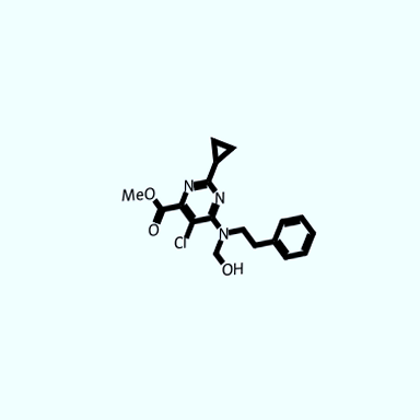 COC(=O)c1nc(C2CC2)nc(N(CO)CCc2ccccc2)c1Cl